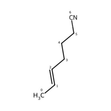 CC=CCCCC#N